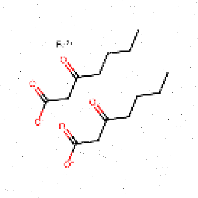 CCCCC(=O)CC(=O)[O-].CCCCC(=O)CC(=O)[O-].[Fe+2]